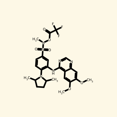 COc1cc2ncnc(Nc3cc(S(=O)(=O)N(C)OC(=O)C(F)(F)F)ccc3N3C(C)CCC3C)c2cc1OC